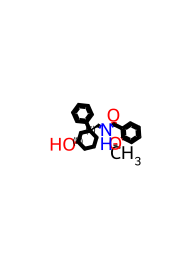 COc1ccccc1C(=O)NC[C@@]1(c2ccccc2)CCC[C@@H](O)C1